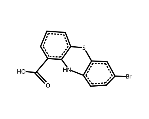 O=C(O)c1cccc2c1Nc1ccc(Br)cc1S2